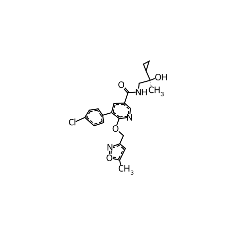 Cc1cc(COc2ncc(C(=O)NC[C@](C)(O)C3CC3)cc2-c2ccc(Cl)cc2)no1